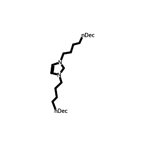 CCCCCCCCCCCCCCN1C=CN(CCCCCCCCCCCCCC)C1